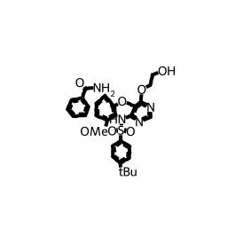 COc1cccc(Oc2c(NS(=O)(=O)c3ccc(C(C)(C)C)cc3)ncnc2OCCO)c1.NC(=O)c1ccccc1